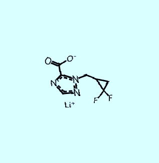 O=C([O-])c1ncnn1CC1CC1(F)F.[Li+]